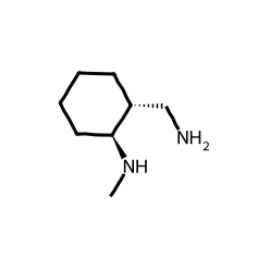 CN[C@H]1CCCC[C@@H]1CN